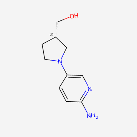 Nc1ccc(N2CC[C@H](CO)C2)cn1